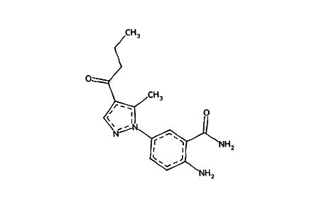 CCCC(=O)c1cnn(-c2ccc(N)c(C(N)=O)c2)c1C